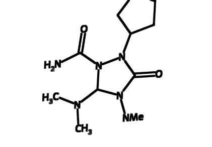 CNN1C(=O)N(C2CCCC2)N(C(N)=O)C1N(C)C